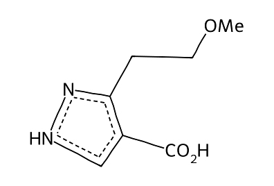 COCCc1n[nH]cc1C(=O)O